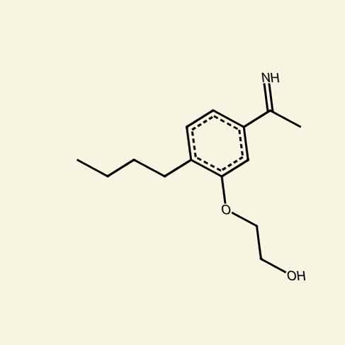 CCCCc1ccc(C(C)=N)cc1OCCO